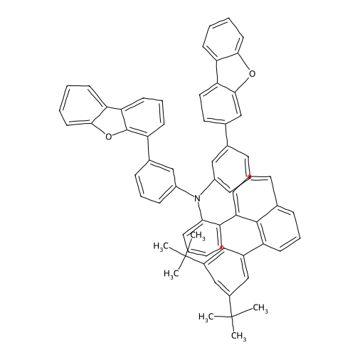 CC(C)(C)c1cc(-c2cccc3cccc(-c4ccccc4N(c4cccc(-c5ccc6c(c5)oc5ccccc56)c4)c4cccc(-c5cccc6c5oc5ccccc56)c4)c23)cc(C(C)(C)C)c1